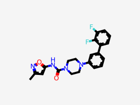 Cc1cc(NC(=O)N2CCN(c3cccc(-c4cccc(F)c4F)c3)CC2)on1